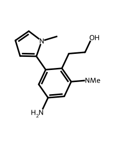 CNc1cc(N)cc(-c2cccn2C)c1CCO